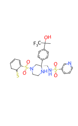 CC(O)(c1ccc([C@]2(CNS(=O)(=O)c3cccnc3)CN(S(=O)(=O)C3=CC=CCC3=S)CCN2)cc1)C(F)(F)F